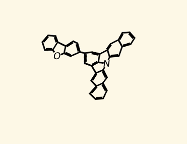 c1ccc2cc3c(cc2c1)c1cc(-c2ccc4c(c2)oc2ccccc24)cc2c4cc5ccccc5cc4n3c12